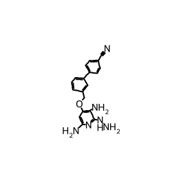 N#Cc1ccc(-c2cccc(COc3cc(N)nc(NN)c3N)c2)cc1